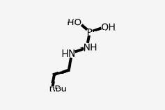 CCCCCCNNP(O)O